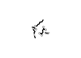 CCCCCCOS(=O)(=O)CCCCCC.O=C([O-])CCC(=O)[O-].[Na+].[Na+]